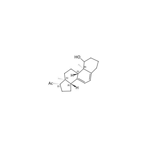 CC(=O)[C@H]1CC[C@H]2C3=CC=C4CCCC(O)[C@]4(C)[C@H]3CC[C@]12C